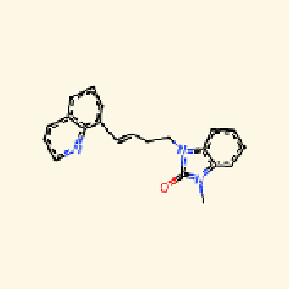 Cn1c(=O)n(CC/C=C/c2cccc3cccnc23)c2ccccc21